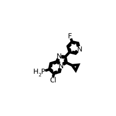 Fc1cncc(-c2nc3cc(P)c(Cl)cn3c2C2CC2)c1